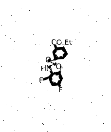 CCOC(=O)c1cccc(S(=O)(=O)Nc2c(F)cc(F)cc2F)c1